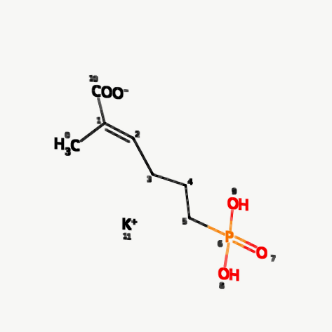 CC(=CCCCP(=O)(O)O)C(=O)[O-].[K+]